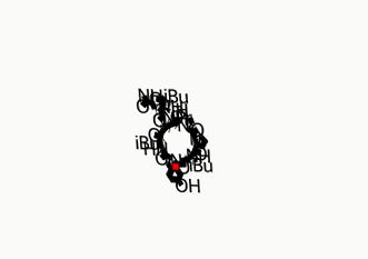 CCC(C)C(=O)N[C@@H](CCC(N)=O)C(=O)N[C@@H]1C(=O)N[C@@H](CC(C)C)C(=O)N2CCCC2C(=O)N[C@@H](C(C)CC)C(=O)N(C)[C@@H](Cc2ccc(O)cc2)C(=O)N[C@@H](C(C)CC)C(=O)C[C@@H]1C